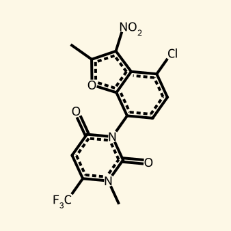 Cc1oc2c(-n3c(=O)cc(C(F)(F)F)n(C)c3=O)ccc(Cl)c2c1[N+](=O)[O-]